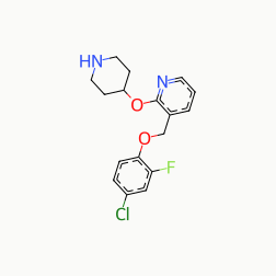 Fc1cc(Cl)ccc1OCc1cccnc1OC1CCNCC1